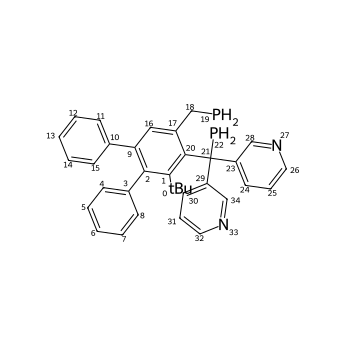 CC(C)(C)c1c(-c2ccccc2)c(-c2ccccc2)cc(CP)c1C(P)(c1cccnc1)c1cccnc1